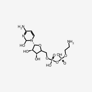 NCCOP(=O)(O)OP(=O)(O)OCC1O[C@@H](N2C=CC(N)=NC2O)[C@H](O)[C@@H]1O